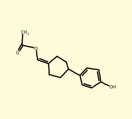 CC(=O)OC=C1CCC(c2ccc(O)cc2)CC1